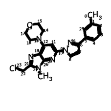 Cc1cccc(-c2ccn(-c3cc(N4CCOCC4)c4nc(CCl)n(C)c4n3)n2)c1